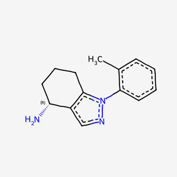 Cc1ccccc1-n1ncc2c1CCC[C@H]2N